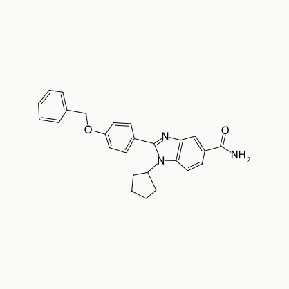 NC(=O)c1ccc2c(c1)nc(-c1ccc(OCc3ccccc3)cc1)n2C1CCCC1